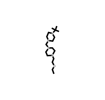 CCOCCN1CCN(CN2CCN(C(C)(C)C)CC2)CC1